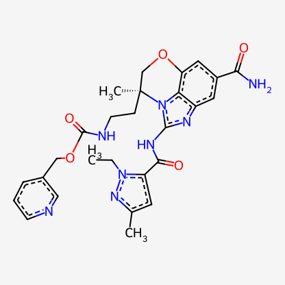 CCn1nc(C)cc1C(=O)Nc1nc2cc(C(N)=O)cc3c2n1[C@@](C)(CCNC(=O)OCc1cccnc1)CO3